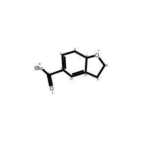 CC(C)(C)C(=O)C1=CCC2OCCC2=C1